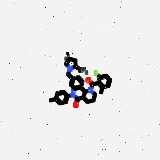 Cc1ccc(NC(=O)C2CCCN(C(=O)c3c(C)cccc3F)C2c2ccc(CN3C[C@H](C)CC3C(F)(F)F)cc2)cc1